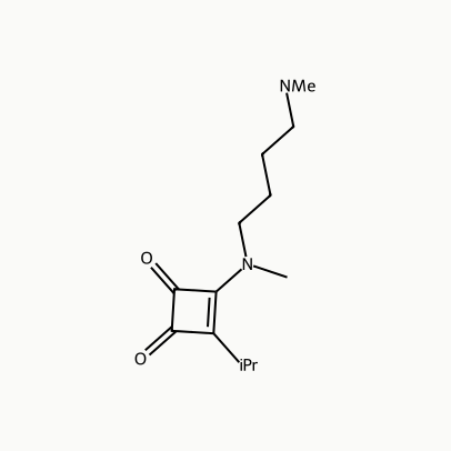 CNCCCCN(C)c1c(C(C)C)c(=O)c1=O